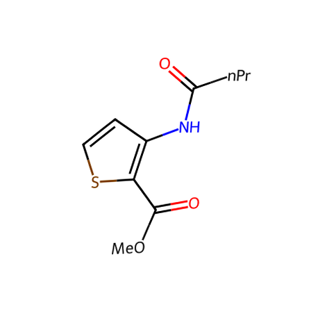 CCCC(=O)Nc1ccsc1C(=O)OC